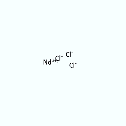 [Cl-].[Cl-].[Cl-].[Nd+3]